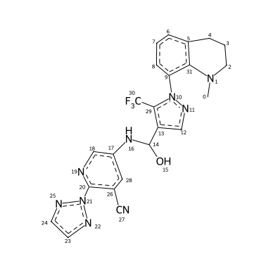 CN1CCCc2cccc(-n3ncc(C(O)Nc4cnc(-n5nccn5)c(C#N)c4)c3C(F)(F)F)c21